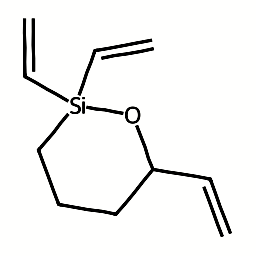 C=CC1CCC[Si](C=C)(C=C)O1